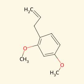 C=CCc1ccc(OC)cc1OC